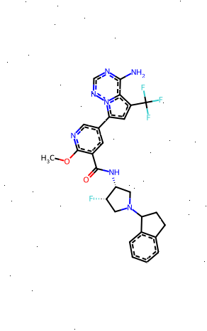 COc1ncc(-c2cc(C(F)(F)F)c3c(N)ncnn23)cc1C(=O)N[C@@H]1CN(C2CCc3ccccc32)C[C@@H]1F